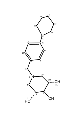 OC1[C@H](O)CN(Cc2ccc(N3CCCCC3)cc2)C[C@@H]1O